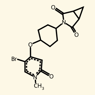 Cn1cc(Br)c(OC2CCC(N3C(=O)C4CC4C3=O)CC2)cc1=O